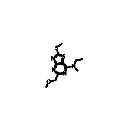 CCN(C)c1nc(COC)nc2nc(SC)sc12